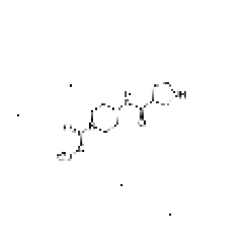 CC(C)(C)OC(=O)N1CCC(NC(=O)C2CCNC2)CC1